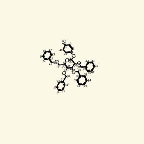 S=C1C=CC(O[C@@H]2O[C@H](COCc3ccccc3)[C@@H](OCc3ccccc3)[C@H](OCc3ccccc3)[C@H]2OCc2ccccc2)=CC1